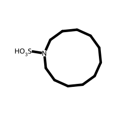 O=S(=O)(O)N1CCCCCCCCCCC1